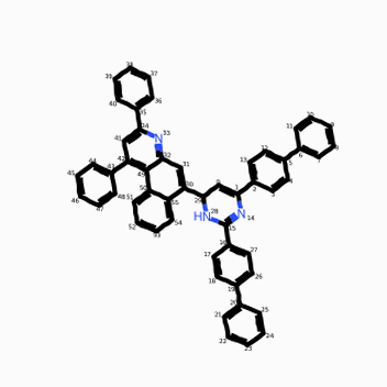 C1=C(c2ccc(-c3ccccc3)cc2)N=C(c2ccc(-c3ccccc3)cc2)NC1c1cc2nc(-c3ccccc3)cc(-c3ccccc3)c2c2ccccc12